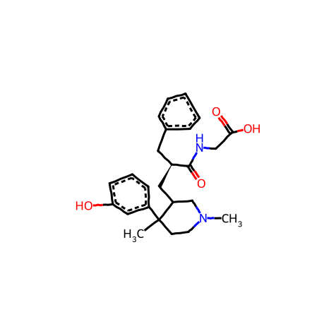 CN1CCC(C)(c2cccc(O)c2)C(C[C@@H](Cc2ccccc2)C(=O)NCC(=O)O)C1